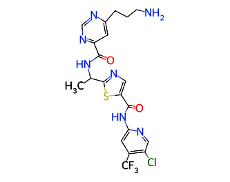 CC(NC(=O)c1cc(CCCN)ncn1)c1ncc(C(=O)Nc2cc(C(F)(F)F)c(Cl)cn2)s1